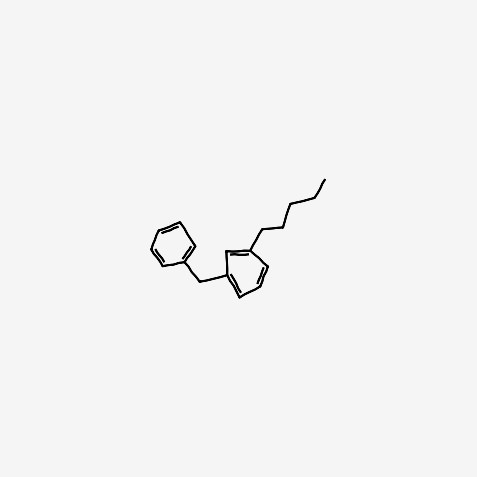 CCCCCc1cccc(Cc2ccccc2)c1